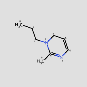 CCCN1CC=CN=C1C